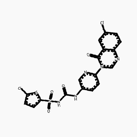 O=C(Nc1ccc(-n2cnc3ccc(Cl)cc3c2=O)nc1)NS(=O)(=O)c1ccc(Cl)s1